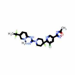 Cc1nc(-c2cnc(C3(F)CCN(C(=N)NC4=CC=C(C(C)(F)F)CN4C)CC3)c(Cl)c2)no1